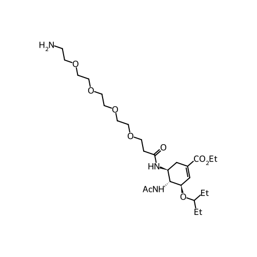 CCOC(=O)C1=C[C@@H](OC(CC)CC)[C@H](NC(C)=O)[C@@H](NC(=O)CCOCCOCCOCCOCCN)C1